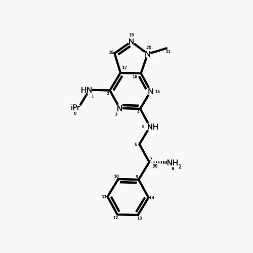 CC(C)Nc1nc(NC[C@H](N)c2ccccc2)nc2c1cnn2C